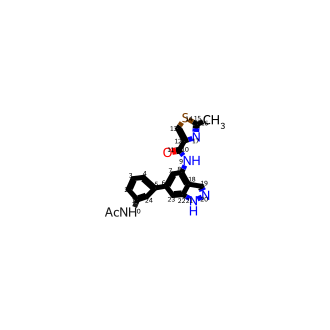 CC(=O)Nc1cccc(-c2cc(NC(=O)c3csc(C)n3)c3cn[nH]c3c2)c1